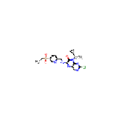 CCS(=O)(=O)c1ccc(CNc2nc3cnc(Cl)nc3n([C@H](C)C3CC3)c2=O)nc1